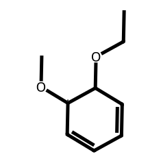 CCOC1C=CC=C[C]1OC